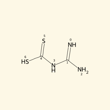 N=C(N)NC(=S)S